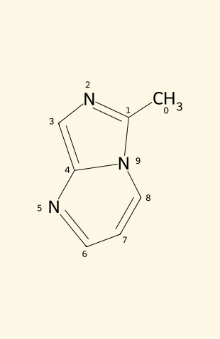 Cc1ncc2ncccn12